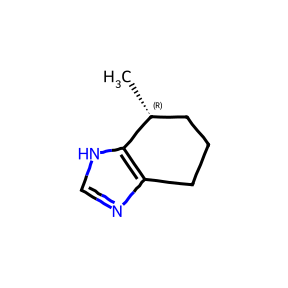 C[C@@H]1CCCc2nc[nH]c21